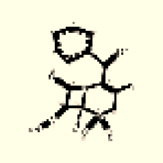 CC1=C(C(=O)c2ccccc2)N2C(=O)C(=[N+]=[N-])[C@H]2S(=O)(=O)C1